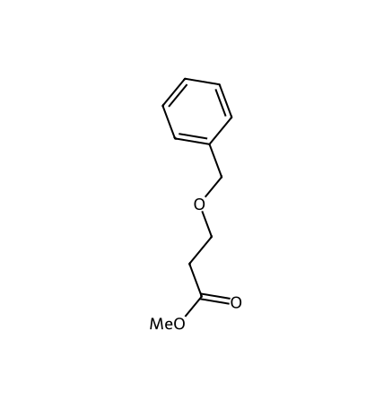 COC(=O)CCOCc1ccccc1